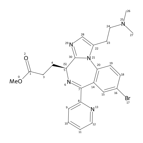 COC(=O)CC[C@@H]1N=C(c2ccccn2)c2cc(Br)ccc2-n2c(CCN(C)C)cnc21